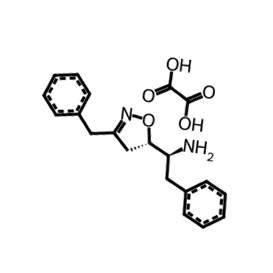 N[C@@H](Cc1ccccc1)[C@@H]1CC(Cc2ccccc2)=NO1.O=C(O)C(=O)O